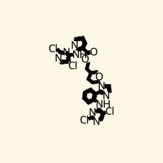 O=C(OCCC1CCC(n2ccnc2-c2ccccc2Nc2nc(Cl)ncc2Cl)OC1)c1cccnc1Nc1nc(Cl)ncc1Cl